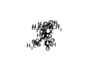 CC(C)[Si]1(C(C)C)OCC2OC(n3ccc(=O)[nH]c3=O)[C@@](O)(CCCOS(C)(=O)=O)[C@@H]2O[Si](C(C)C)(C(C)C)O1